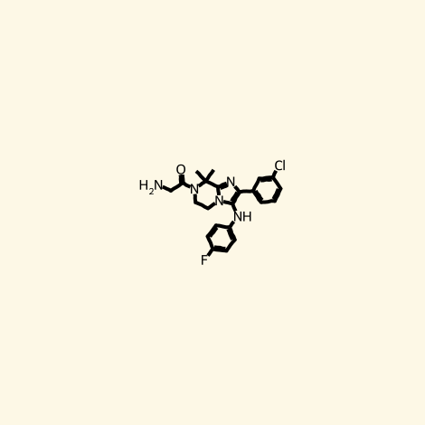 CC1(C)c2nc(-c3cccc(Cl)c3)c(Nc3ccc(F)cc3)n2CCN1C(=O)CN